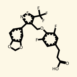 O=C(O)CCc1cc(F)c(OCc2c(-c3ccc4c(c3)OCO4)nsc2C(F)(F)F)c(F)c1